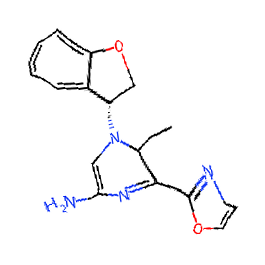 CC1C(c2ncco2)=NC(N)=CN1[C@H]1COc2ccccc21